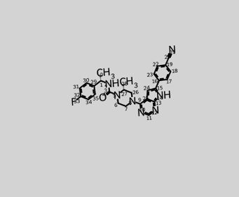 C[C@H](NC(=O)N1CCN(c2ncnc3[nH]c(-c4ccc(C#N)cc4)cc23)C[C@H]1C)c1ccc(F)cc1